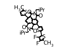 Cc1ccc(-c2cc3c4c(c(-c5ccc(-c6sc(C)c(F)c6F)s5)cc5c4c2C(=O)N(CC(C)C)C5=O)C(=O)N(CC(C)C)C3=O)s1